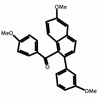 COc1ccc(C(=O)c2c(-c3cccc(OC)c3)ccc3cc(OC)ccc23)cc1